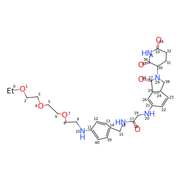 CCOCCOCCOCCNc1ccc(CNC(=O)CNc2ccc3c(c2)C(=O)N(C2CCC(=O)NC2=O)C3)cc1